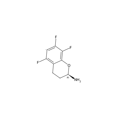 N[C@H]1CCc2c(F)[c]c(F)c(F)c2O1